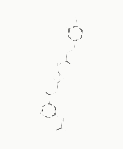 CC(=O)Nc1cncc(C(=O)NC23CC(NC(=O)COc4ccc(Cl)c(F)c4)(C2)C3)c1